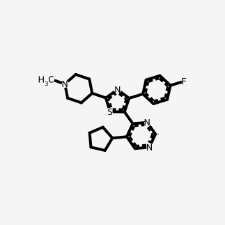 CN1CCC(c2nc(-c3ccc(F)cc3)c(-c3n[c]ncc3C3CCCC3)s2)CC1